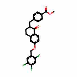 COC(=O)c1ccc(CC2CCc3cc(OCc4cc(F)c(F)cc4F)ccc3C2=O)cc1